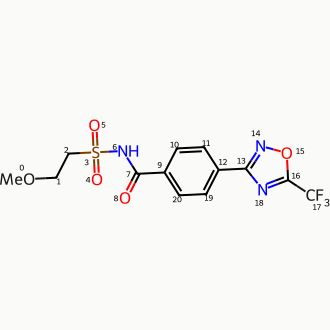 COCCS(=O)(=O)NC(=O)c1ccc(-c2noc(C(F)(F)F)n2)cc1